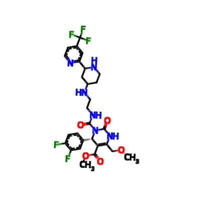 COCC1=C(C(=O)OC)[C@H](c2ccc(F)c(F)c2)N(C(=O)NCCNC2CCNC(c3cc(C(F)(F)F)ccn3)C2)C(=O)N1